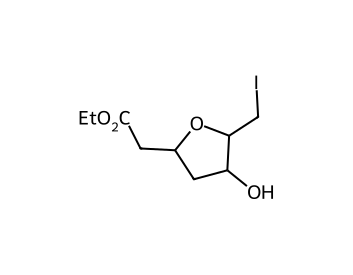 CCOC(=O)CC1CC(O)C(CI)O1